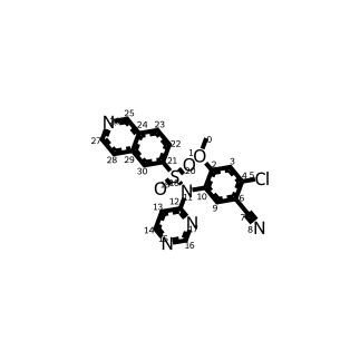 COc1cc(Cl)c(C#N)cc1N(c1ccncn1)S(=O)(=O)c1ccc2cnccc2c1